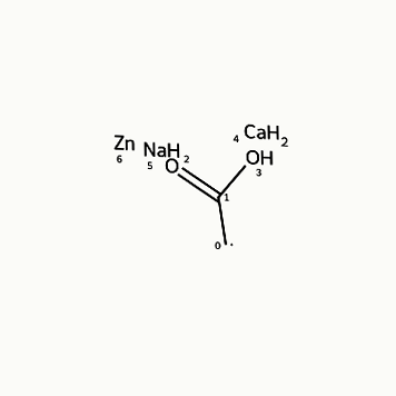 [CH2]C(=O)O.[CaH2].[NaH].[Zn]